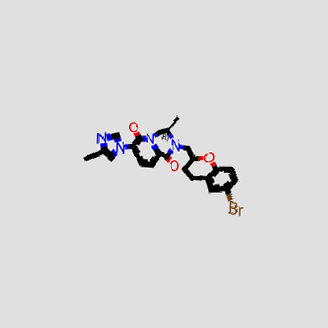 Cc1cn(-c2ccc3n(c2=O)C[C@@H](C)N(CC2CCc4cc(Br)ccc4O2)C3=O)cn1